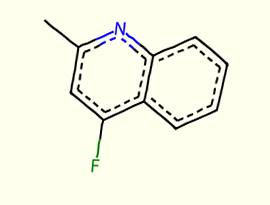 Cc1cc(F)c2ccccc2n1